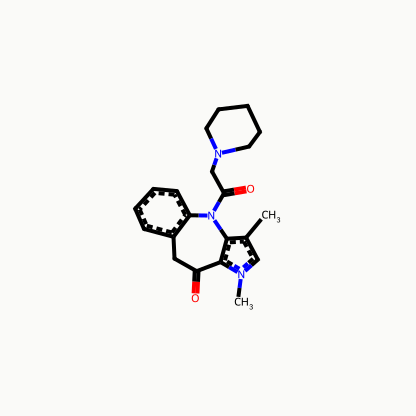 Cc1cn(C)c2c1N(C(=O)CN1CCCCC1)c1ccccc1CC2=O